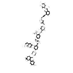 CC1(C)CCC(CN2CCN(c3ccc(C(=O)NS(=O)(=O)c4ccc(NCC5CCN(Cc6cnn(CC#Cc7cccc8c7CN(C7CCC(=O)NC7=O)C8=O)c6)CC5)c([N+](=O)[O-])c4)c(Oc4cnc5[nH]ccc5c4)c3)CC2)=C(c2ccc(Cl)cc2)C1